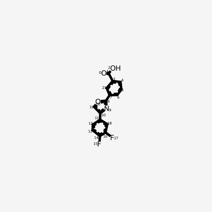 O=C(O)c1cccc(-c2nc(-c3ccc(F)c(F)c3)co2)c1